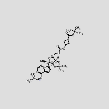 CN(C)/C=N\c1ncnn2c([C@]3(C#N)O[C@H](COC(=O)OC4CN(C(=O)OC(C)(C)C)C4)[C@H]4OC(C)(C)O[C@H]43)ccc12